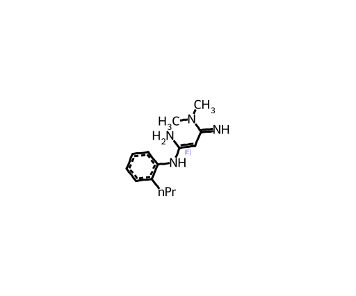 CCCc1ccccc1N/C(N)=C/C(=N)N(C)C